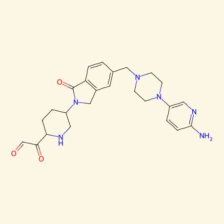 Nc1ccc(N2CCN(Cc3ccc4c(c3)CN(C3CCC(C(=O)C=O)NC3)C4=O)CC2)cn1